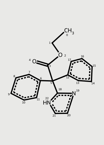 CCOC(=O)C(c1ccccc1)(c1ccccc1)c1ncc[nH]1